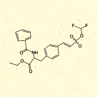 CCOC(=O)C(Cc1ccc(/C=C/S(=O)(=O)OC(F)F)cc1)NC(=O)c1ccccc1